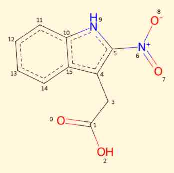 O=C(O)Cc1c([N+](=O)[O-])[nH]c2ccccc12